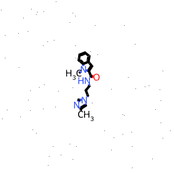 Cc1cn(CCCNC(=O)c2cc3ccccc3n2C)cn1